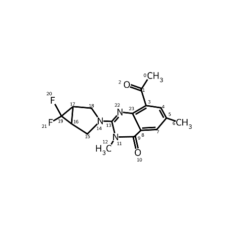 CC(=O)c1cc(C)cc2c(=O)n(C)c(N3CC4C(C3)C4(F)F)nc12